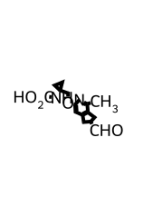 Cc1nc(OCC2(NC(=O)O)CC2)cc2c1CC(C=O)C2